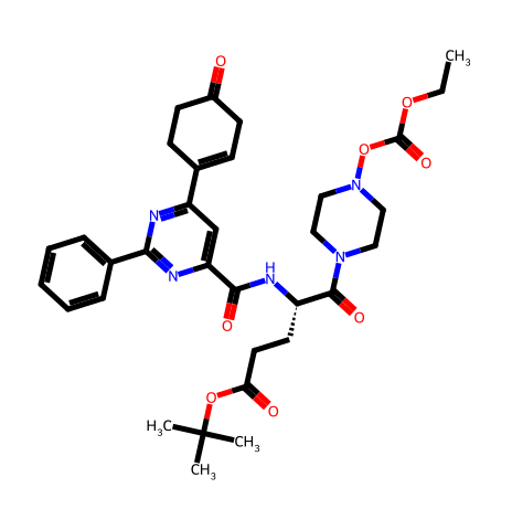 CCOC(=O)ON1CCN(C(=O)[C@H](CCC(=O)OC(C)(C)C)NC(=O)c2cc(C3=CCC(=O)CC3)nc(-c3ccccc3)n2)CC1